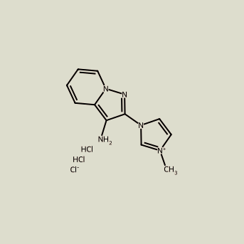 C[n+]1ccn(-c2nn3ccccc3c2N)c1.Cl.Cl.[Cl-]